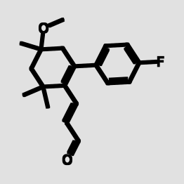 COC1(C)CC(c2ccc(F)cc2)=C(C=CC=O)C(C)(C)C1